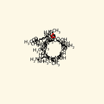 CC[C@H](C)C1NC(=O)[C@@H](CCCNC(=N)N)NC(=O)[C@H](CC(C)C)NC(=O)[C@H]([C@H](O)C(C)C)NC(=O)[C@@H](NC(=O)[C@H](CC(C)C)NC(=O)[C@H](N)CCCCNC(=O)OC(C)(C)C)[C@@H](c2ccccc2)OC(=O)[C@H](CO)NC(=O)[C@H]([C@H](O)C(N)=O)NC(=O)CNC(=O)C([C@H](C)O)NC1=O